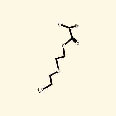 NCCOCCOC(=O)C(Br)Br